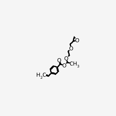 C=Cc1ccc(C(=O)OC(C)OCCOCC2CO2)cc1